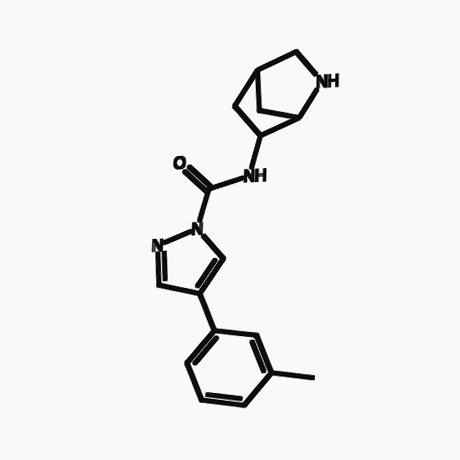 Cc1cccc(-c2cnn(C(=O)NC3CC4CNC3C4)c2)c1